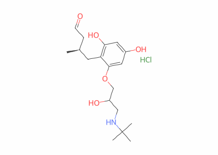 C[C@@H](CC=O)Cc1c(O)cc(O)cc1OCC(O)CNC(C)(C)C.Cl